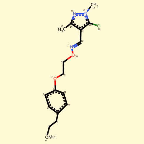 COCCc1ccc(OCCON=Cc2c(C)nn(C)c2Cl)cc1